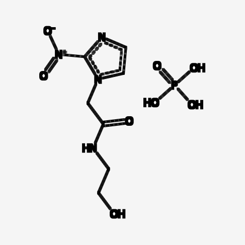 O=C(Cn1ccnc1[N+](=O)[O-])NCCO.O=P(O)(O)O